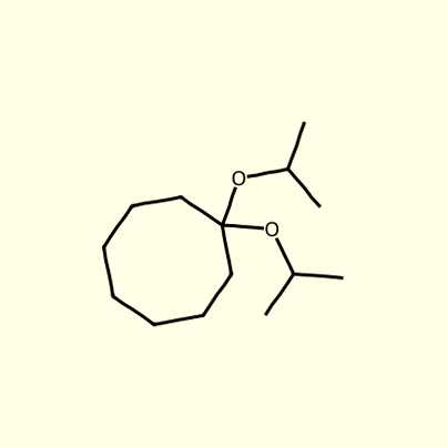 CC(C)OC1(OC(C)C)CCCCCCC1